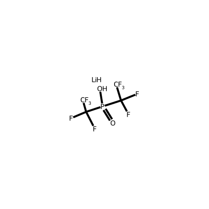 O=P(O)(C(F)(F)C(F)(F)F)C(F)(F)C(F)(F)F.[LiH]